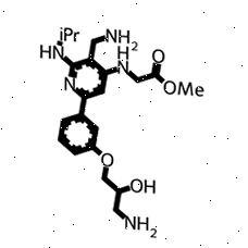 COC(=O)CNc1cc(-c2cccc(OCC(O)CN)c2)nc(NC(C)C)c1CN